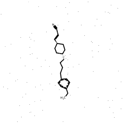 CCc1ccc(CCCC[C@H]2CC[C@H](/C=C/C#N)CC2)cc1